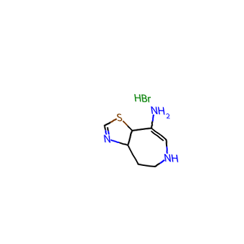 Br.NC1=CNCCC2N=CSC12